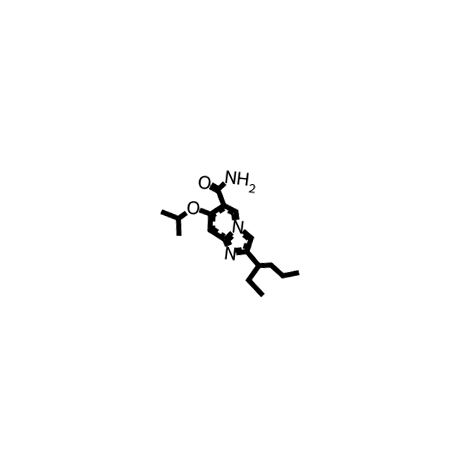 CCCC(CC)c1cn2cc(C(N)=O)c(OC(C)C)cc2n1